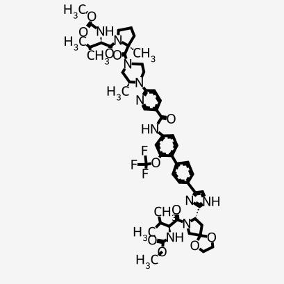 COC(=O)N[C@H](C(=O)N1CC2(C[C@H]1c1nc(-c3ccc(-c4ccc(NC(=O)c5ccc(N6CCN(C(=O)[C@]7(C)CCCN7C(=O)[C@@H](NC(=O)OC)C(C)C)C[C@H]6C)nc5)cc4OC(F)(F)F)cc3)c[nH]1)OCCO2)C(C)C